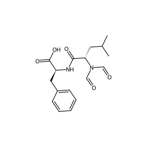 CC(C)C[C@@H](C(=O)N[C@@H](Cc1ccccc1)C(=O)O)N(C=O)C=O